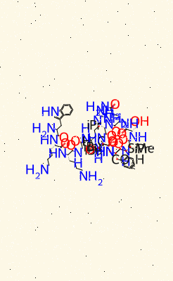 CC[C@H](C)[C@H](NC(=O)[C@H](CCCCN)NC(=O)[C@H](CCCCN)NC(=O)[C@@H](N)Cc1c[nH]c2ccccc12)C(=O)N[C@@H](CCCN=C(N)N)C(=O)N[C@@H](C)C(=O)N[C@@H](Cc1ccccc1)C(=O)N[C@H](C(=O)N[C@@H](CO)C(=O)N[C@@H](CCC(N)=O)C(=O)N[C@H](C(=O)N[C@H](C(=O)N[C@@H](CCSC)C(=O)O)[C@@H](C)CC)C(C)C)C(C)C